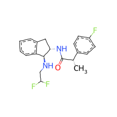 C[C@H](C(=O)N[C@H]1Cc2ccccc2[C@@H]1NCC(F)F)c1ccc(F)cc1